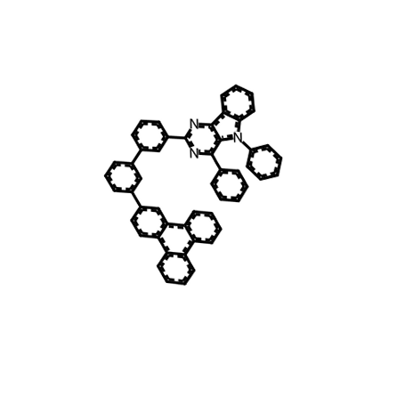 c1ccc(-c2nc(-c3cccc(-c4cccc(-c5ccc6c7ccccc7c7ccccc7c6c5)c4)c3)nc3c4ccccc4n(-c4ccccc4)c23)cc1